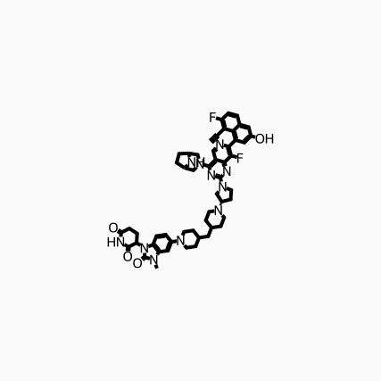 C#Cc1c(F)ccc2cc(O)cc(-c3ncc4c(N5CC6CCC(C5)N6)nc(N5CC[C@@H](N6CCC(CC7CCN(c8ccc9c(c8)n(C)c(=O)n9C8CCC(=O)NC8=O)CC7)CC6)C5)nc4c3F)c12